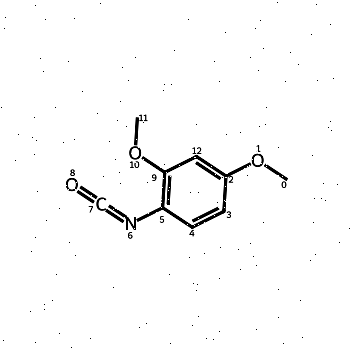 COc1ccc(N=C=O)c(OC)c1